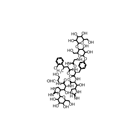 CC(c1ccccc1Cl)[C@H](NC(=O)CN)C(=O)N[C@@H](Cc1ccc(OC2OC(CO)C(OC3OC(CO)C(O)C(O)C3O)C(O)C2O)cc1)C(=O)N[C@H](C(=O)N[C@H](C(=O)N[C@H]([C]=O)CO)C(O)C1CNC(=N)N1C1OC(CO)C(O)C(O)C1O)C(O)C1CNC(=N)N1